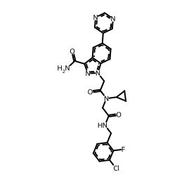 NC(=O)c1nn(CC(=O)N(CC(=O)NCc2cccc(Cl)c2F)C2CC2)c2ccc(-c3cncnc3)cc12